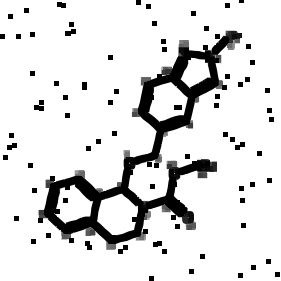 CC(C)n1cc2cc(COC3c4ccccc4CCN3C(=O)OC(C)(C)C)ccc2n1